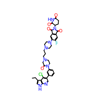 CCc1c[nH]c2ncc(-c3cccc(N4CCN(CCCN5CCN(c6cc7c(cc6F)C(=O)N(C6CCC(=O)NC6=O)C7=O)CC5)CC4=O)c3)c(Cl)c12